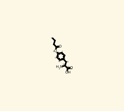 CCCC(=O)Oc1ccc(CC(N)C(=O)O)cc1